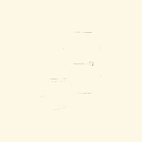 c1ccc2c(c1)CCN1CCCCC21